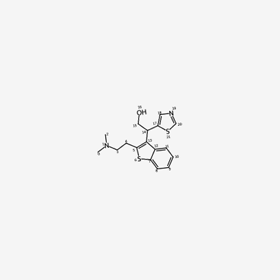 CN(C)CCc1sc2ccccc2c1C(CO)c1cncs1